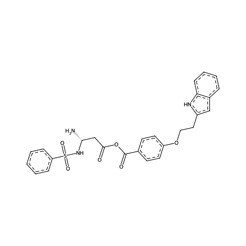 N[C@H](CC(=O)OC(=O)c1ccc(OCCc2cc3ccccc3[nH]2)cc1)NS(=O)(=O)c1ccccc1